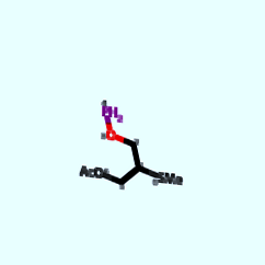 CSC(COP)COC(C)=O